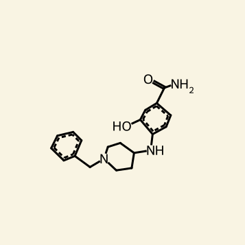 NC(=O)c1ccc(NC2CCN(Cc3ccccc3)CC2)c(O)c1